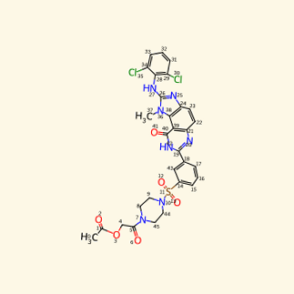 CC(=O)OCC(=O)N1CCN(S(=O)(=O)c2cccc(-c3nc4ccc5nc(Nc6c(Cl)cccc6Cl)n(C)c5c4c(=O)[nH]3)c2)CC1